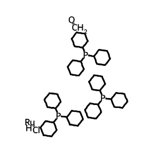 C1CCC(P(C2CCCCC2)C2CCCCC2)CC1.C1CCC(P(C2CCCCC2)C2CCCCC2)CC1.C1CCC(P(C2CCCCC2)C2CCCCC2)CC1.C=O.[Cl][Ru].[H-]